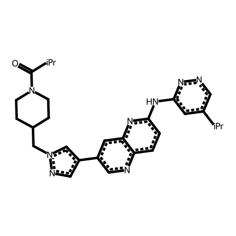 CC(C)C(=O)N1CCC(Cn2cc(-c3cnc4ccc(Nc5cc(C(C)C)cnn5)nc4c3)cn2)CC1